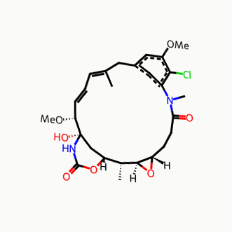 COc1cc2cc(c1Cl)N(C)C(=O)CC[C@@H]1O[C@H]1[C@H](C)[C@@H]1C[C@@](O)(NC(=O)O1)[C@H](OC)/C=C/C=C(\C)C2